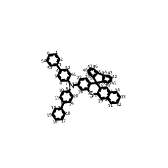 c1ccc(-c2ccc(N(c3ccc(-c4ccccc4)cc3)c3ccc4c(c3)Sc3cc5ccccc5cc3C43c4ccccc4-c4ccccc43)cc2)cc1